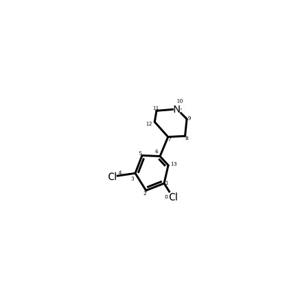 Clc1cc(Cl)cc(C2CC[N]CC2)c1